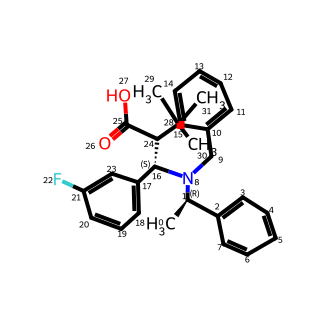 C[C@H](c1ccccc1)N(Cc1ccccc1)[C@H](c1cccc(F)c1)C(C(=O)O)C(C)(C)C